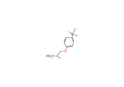 CC(COc1ccc([Si](C)(C)C)cc1)C(=O)O